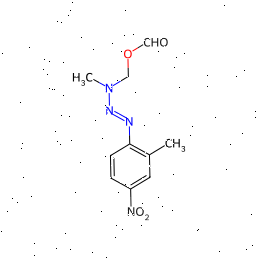 Cc1cc([N+](=O)[O-])ccc1/N=N/N(C)COC=O